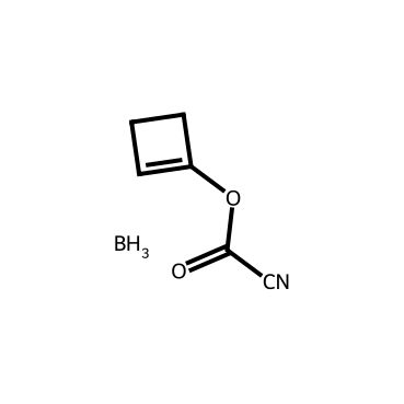 B.N#CC(=O)OC1=CCC1